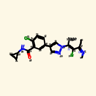 C/N=C(C)\C(Br)=C(/NC)n1cc(-c2ccc(Cl)c(C(=O)NC3CC3)c2)cn1